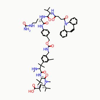 CNC(C(=O)N[C@H](C(=O)N(C)[C@H](/C=C(\C)C(=O)O)C(C)C)C(C)(C)C)C(C)(C)c1ccc(CNC(=O)OCc2ccc(NC(=O)[C@H](CCCNC(N)=O)NC(=O)[C@@H](NC(=O)CCC(=O)N3Cc4ccccc4C#Cc4ccccc43)C(C)C)cc2)c(C)c1